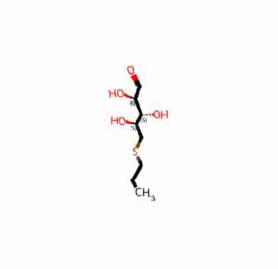 CCCSC[C@@H](O)[C@@H](O)[C@@H](O)C=O